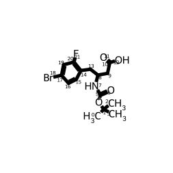 CC(C)(C)OC(=O)NC(CC(=O)O)Cc1ccc(Br)cc1F